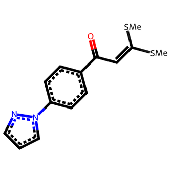 CSC(=CC(=O)c1ccc(-n2cccn2)cc1)SC